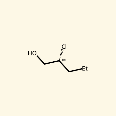 CCC[C@@H](Cl)CO